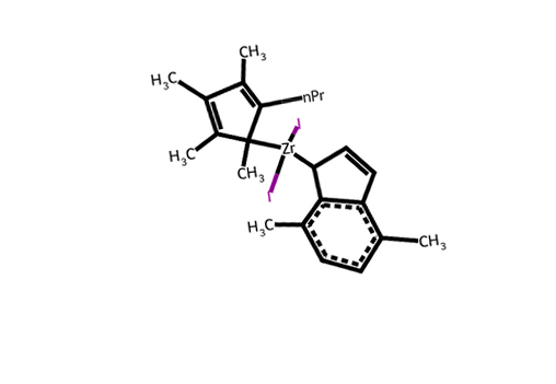 CCCC1=C(C)C(C)=C(C)[C]1(C)[Zr]([I])([I])[CH]1C=Cc2c(C)ccc(C)c21